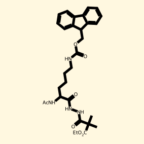 CCOC(=O)C(C)(C)C(=O)NNC(=O)C(CCCCNC(=O)OCC1c2ccccc2-c2ccccc21)NC(C)=O